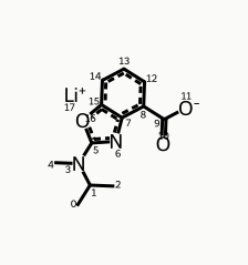 CC(C)N(C)c1nc2c(C(=O)[O-])cccc2o1.[Li+]